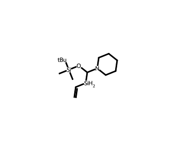 C=C[SiH2]C(O[Si](C)(C)C(C)(C)C)N1CCCCC1